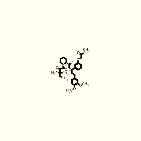 CCC(C)(C)C(=O)C(=O)N1CCCC[C@H]1C(=O)C[C@H](CCc1ccc(OC)c(OC)c1)c1cccc(OCC(=O)OC)c1